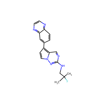 CC(C)(F)CNc1ncc2c(-c3ccc4nccnc4c3)ccn2n1